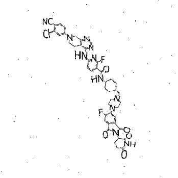 N#Cc1ccc(N2CCc3c(ncnc3Nc3ccc(C(=O)N[C@H]4CC[C@H](CN5CCN(c6cc7c(cc6F)C(=O)N(C6CCC(=O)NC6=O)C7=O)CC5)CC4)c(F)n3)C2)cc1Cl